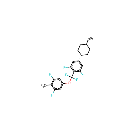 CCC[C@H]1CC[C@H](c2cc(F)c(C(F)(F)Oc3cc(F)c(C(F)(F)F)c(F)c3)c(F)c2)CC1